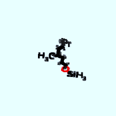 CC(C)CCC(C)CCCO[SiH3]